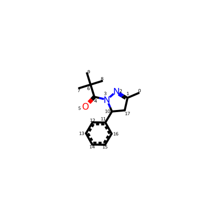 CC1=NN(C(=O)C(C)(C)C)C(c2ccccc2)C1